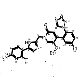 CCOc1cn(Cc2ncc(-c3ccc(N)nc3F)[nH]2)c(=O)cc1-c1cc(Cl)ccc1-n1cnnn1